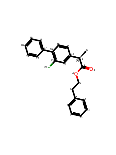 C[C@@H](C(=O)OCCc1ccccc1)c1ccc(-c2ccccc2)c(F)c1